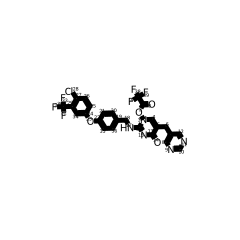 O=C(On1cc(Cc2cncnc2)c(=O)nc1NCc1ccc(Oc2ccc(Cl)c(C(F)(F)F)c2)cc1)C(F)(F)F